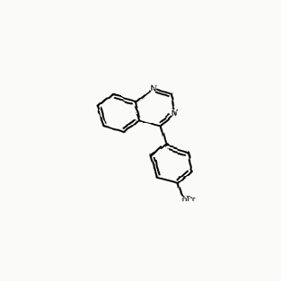 CCCc1ccc(-c2ncnc3ccccc23)cc1